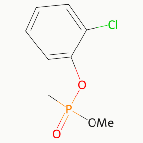 COP(C)(=O)Oc1ccccc1Cl